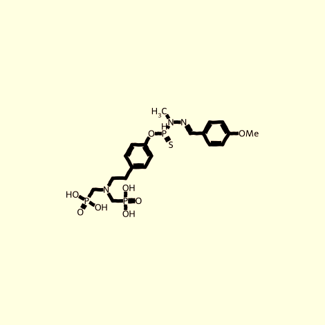 COc1ccc(/C=N/N(C)[PH](=S)Oc2ccc(CCN(CP(=O)(O)O)CP(=O)(O)O)cc2)cc1